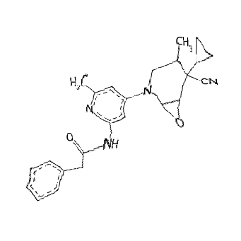 Cc1cc(N2CC(C)C(C#N)(C3CC3)C3OC32)cc(NC(=O)Cc2ccccc2)n1